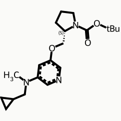 CN(CC1CC1)c1cncc(OC[C@@H]2CCCN2C(=O)OC(C)(C)C)c1